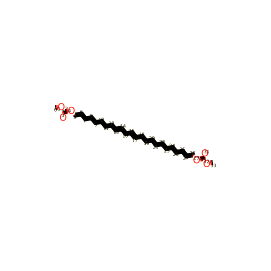 COC(=O)OCCCCCCCCC=CCC=CCCCCCCCCCCCOC(=O)OC